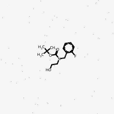 CC(C)(C)OC(=O)N(CCO)Cc1ccccc1F